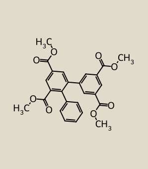 COC(=O)c1cc(C(=O)OC)cc(-c2cc(C(=O)OC)cc(C(=O)OC)c2-c2ccccc2)c1